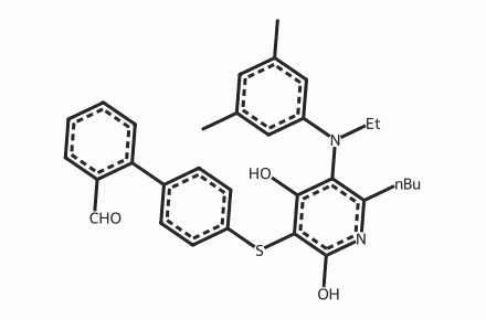 CCCCc1nc(O)c(Sc2ccc(-c3ccccc3C=O)cc2)c(O)c1N(CC)c1cc(C)cc(C)c1